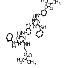 C=C(C)C(=O)OCCNc1nc(Nc2ccccc2)nc(Nc2cccc(Nc3nc(Nc4ccccc4)nc(Nc4cccc(OC(=O)C(=C)C)c4)n3)c2)n1